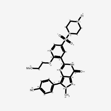 CCN1CCN(S(=O)(=O)c2cnc(OCCOC)c(-c3nc4c(-c5ccc(C#N)cc5)n(C)nc4c(=O)[nH]3)c2)CC1